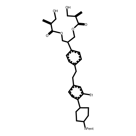 C=C(CO)C(=O)OCC(COC(=O)C(=C)CO)c1ccc(CCc2ccc(C3CCC(CCCCC)CC3)c(CC)c2)cc1